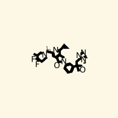 CC1CN([C@H](C)c2cc3c(c(C4CC4)n2)CN(c2cccc(C4(Cc5nncn5C)COC4)c2)C3=O)CCC1(F)F